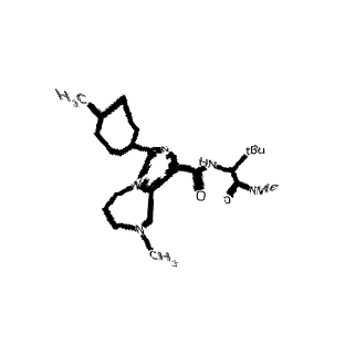 CNC(=O)C(NC(=O)c1nc(C2CCC(C)CC2)n2c1CN(C)CCC2)C(C)(C)C